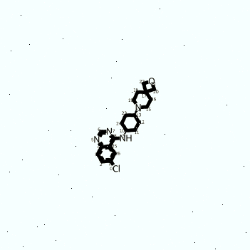 Clc1ccc2ncnc(N[C@H]3CC[C@H](N4CCC5(CC4)COC5)CC3)c2c1